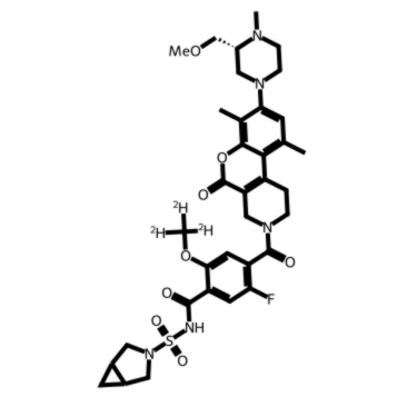 [2H]C([2H])([2H])Oc1cc(C(=O)N2CCc3c(c(=O)oc4c(C)c(N5CCN(C)[C@@H](COC)C5)cc(C)c34)C2)c(F)cc1C(=O)NS(=O)(=O)N1CC2CC2C1